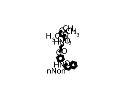 CCCCCCCCCC(Cc1ccccc1)C(=O)NC1CCC(OC(=O)CCNC(=O)C2OC(C)(C)OCC2(C)C)CC1